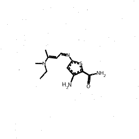 CCN(C)/C(C)=C/C=N\c1cc(N)c(C(N)=O)s1